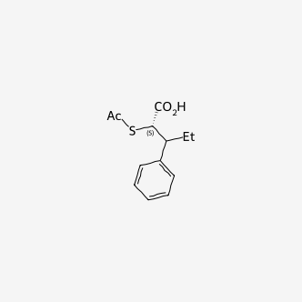 CCC(c1ccccc1)[C@H](SC(C)=O)C(=O)O